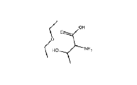 CC(O)C(N)C(=O)O.CCOCC